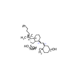 C=C1CC[C@H](O)C/C1=C/C=C1\CCC[C@@]2(C)C1CC[C@@H]2[C@H](C)CCCC(C)C.O=S(=O)(O)O.[NaH]